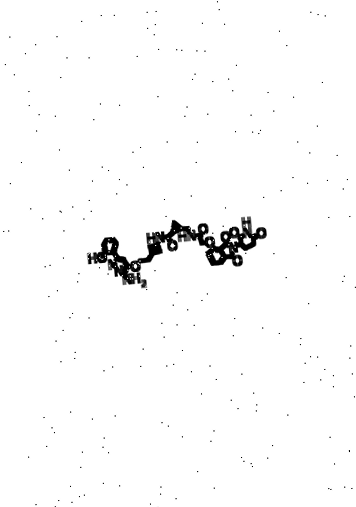 Nc1nnc(-c2ccccc2O)cc1OCCC12CC(NC(=O)C3CC3CNC(=O)COc3cccc4c3C(=O)N(C3CCC(=O)NC3=O)C4=O)(C1)C2